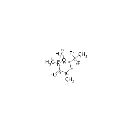 C=C(CCC(C)(F)F)C(=O)N(C)OC